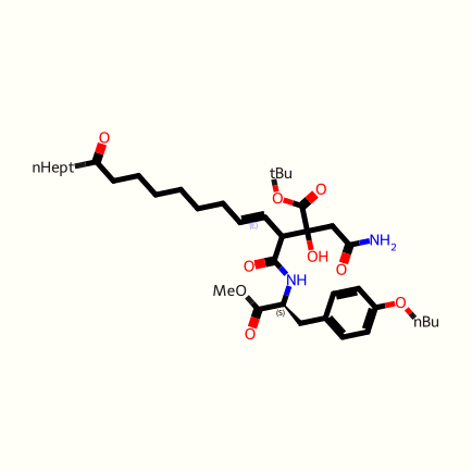 CCCCCCCC(=O)CCCCCC/C=C/C(C(=O)N[C@@H](Cc1ccc(OCCCC)cc1)C(=O)OC)C(O)(CC(N)=O)C(=O)OC(C)(C)C